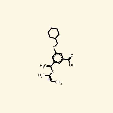 C=C(S/C(C)=C\C)c1cc(OCC2CCCCC2)cc(C(=O)O)c1